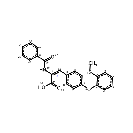 CSc1ccccc1Oc1ccc(/C=C(/NC(=O)c2ccccc2)C(=O)O)cc1